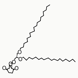 CCCCCCCCCCCCCCCCCCOC[C@H](COON1C(=O)CCC1=O)OCCCCCCCCCCCCCCCCCC